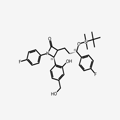 CC(C)(C)[Si](C)(C)O[C@@H](CCC1C(=O)N(c2ccc(F)cc2)[C@@H]1c1ccc(CO)cc1O)c1ccc(F)cc1